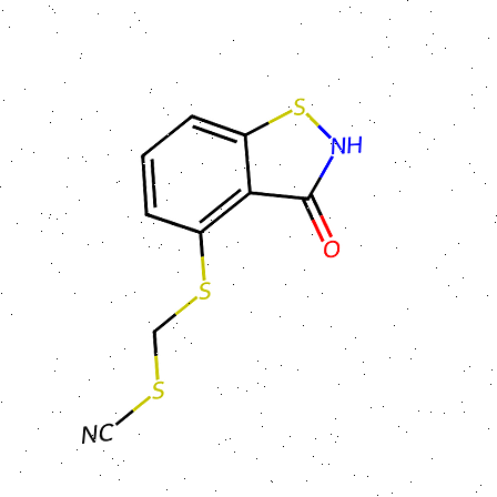 N#CSCSc1cccc2s[nH]c(=O)c12